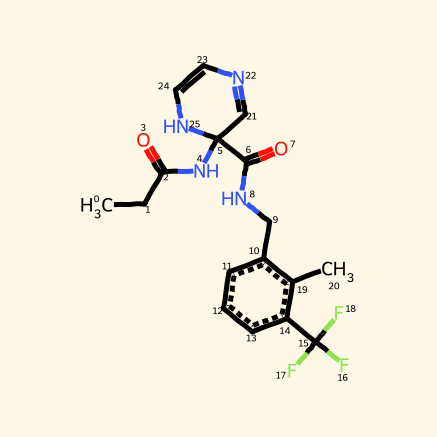 CCC(=O)NC1(C(=O)NCc2cccc(C(F)(F)F)c2C)C=NC=CN1